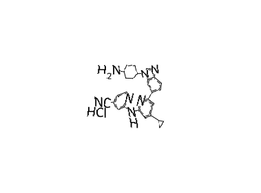 Cl.N#Cc1ccnc(Nc2cc(C3CC3)cc(-c3ccc4ncn(C5CCC(N)CC5)c4c3)n2)c1